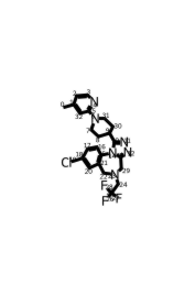 Cc1ccnc(N2CCC(c3nnc4n3-c3ccc(Cl)cc3CN(CC(F)(F)F)C4)CC2)c1